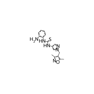 Cc1noc(C)c1Cn1cc(NC(=S)Nc2ccccc2N)cn1